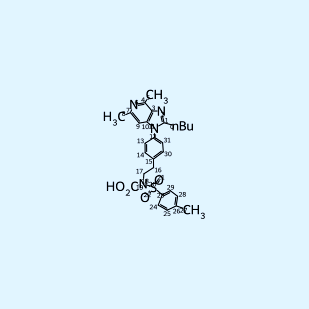 CCCCc1nc2c(C)nc(C)cc2n1-c1ccc(CCN(C(=O)O)S(=O)(=O)c2ccc(C)cc2)cc1